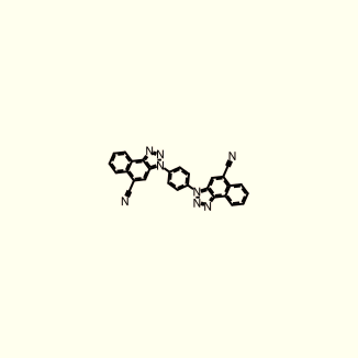 N#Cc1cc2c(nnn2-c2ccc(-n3nnc4c5ccccc5c(C#N)cc43)cc2)c2ccccc12